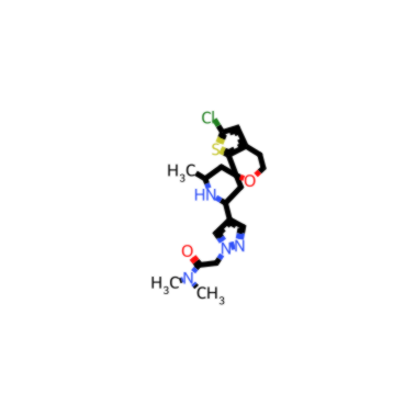 CC1CC2(CC(c3cnn(CC(=O)N(C)C)c3)N1)OCCc1cc(Cl)sc12